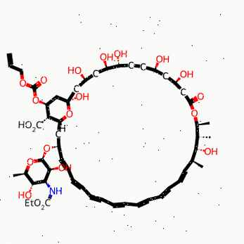 C=CCOC(=O)O[C@H]1C[C@@]2(O)C[C@@H](O)C[C@@H](O)[C@H](O)CC[C@@H](O)C[C@@H](O)CC(=O)O[C@@H](C)[C@H](C)[C@H](O)[C@@H](C)/C=C/C=C/C=C/C=C/C=C/C=C/C=C/[C@H](O[C@@H]3O[C@H](C)[C@@H](O)[C@H](NC(=O)OCC)[C@@H]3O)C[C@H](O2)[C@@H]1C(=O)O